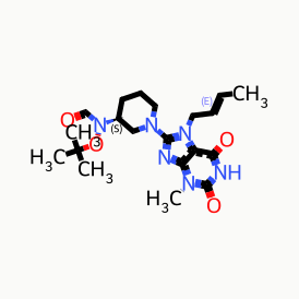 C/C=C/Cn1c(N2CCC[C@H](N(C=O)OC(C)(C)C)C2)nc2c1c(=O)[nH]c(=O)n2C